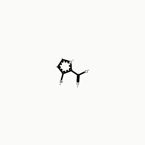 O=C(Cl)c1occc1Br